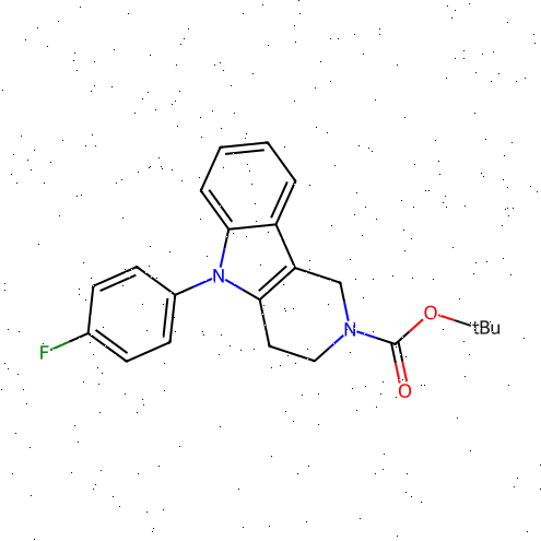 CC(C)(C)OC(=O)N1CCc2c(c3ccccc3n2-c2ccc(F)cc2)C1